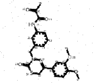 COc1ccc(C2=NN(Cc3cccc(NC(=O)C(C)=O)c3)C(=O)SC2)cc1OC